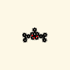 c1ccc(N2c3ccc(-c4ccc5c(c4)c4ccccc4n5-c4ccccc4)cc3C(c3ccccc3)(c3ccccc3)c3cc(-c4ccc5c(c4)c4ccccc4n5-c4ccccc4)ccc32)cc1